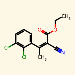 CCOC(=O)C(C#N)=C(C)c1cccc(Cl)c1Cl